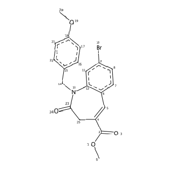 COC(=O)C1=Cc2ccc(Br)cc2N(Cc2ccc(OC)cc2)C(=O)C1